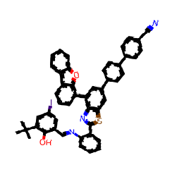 CC(C)(C)c1cc(I)cc(/C=N/c2ccccc2-c2nc3c(-c4cccc5c4oc4ccccc45)cc(-c4ccc(-c5ccc(C#N)cc5)cc4)cc3s2)c1O